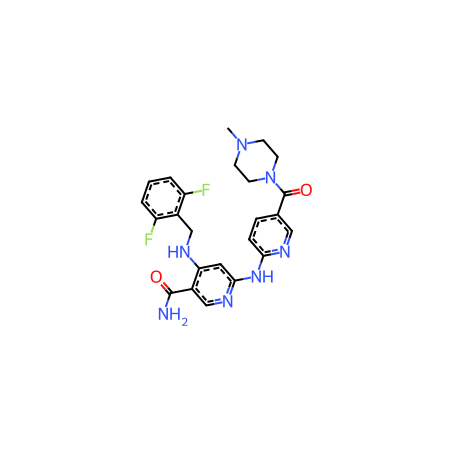 CN1CCN(C(=O)c2ccc(Nc3cc(NCc4c(F)cccc4F)c(C(N)=O)cn3)nc2)CC1